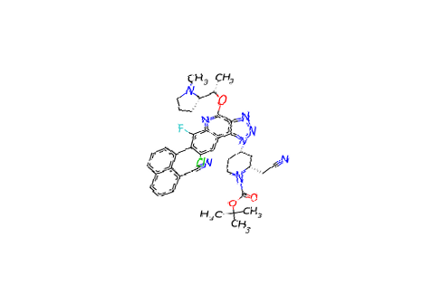 C[C@H](Oc1nc2c(F)c(-c3cccc4cccc(C#N)c34)c(Cl)cc2c2c1nnn2[C@H]1CCN(C(=O)OC(C)(C)C)[C@@H](CC#N)C1)[C@@H]1CCCN1C